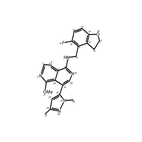 COc1ncnc2c(NCc3c(F)ccc4c3CCO4)ncc(-c3cc(C)nn3C)c12